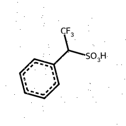 O=S(=O)(O)[C](c1ccccc1)C(F)(F)F